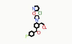 CO/C=C\c1cc(C(=O)c2ccc(F)cc2)ccc1N1CCC(Oc2ncccc2Cl)C1